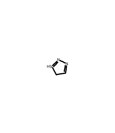 C1=NN=[SiH]C1